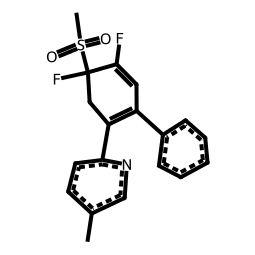 Cc1ccc(C2=C(c3ccccc3)C=C(F)C(F)(S(C)(=O)=O)C2)nc1